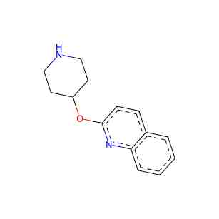 c1ccc2nc(OC3CCNCC3)ccc2c1